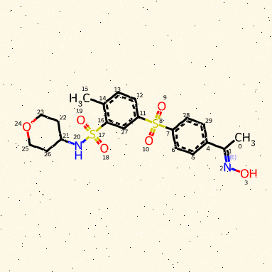 C/C(=N\O)c1ccc(S(=O)(=O)c2ccc(C)c(S(=O)(=O)NC3CCOCC3)c2)cc1